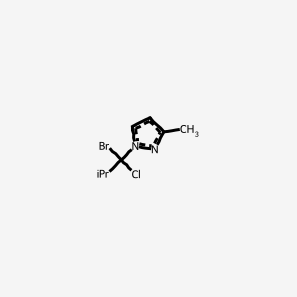 Cc1ccn(C(Cl)(Br)C(C)C)n1